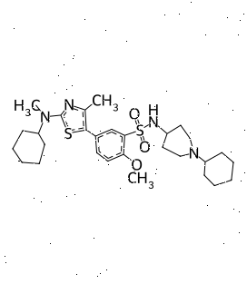 COc1ccc(-c2sc(N(C)C3CCCCC3)nc2C)cc1S(=O)(=O)NC1CCN(C2CCCCC2)CC1